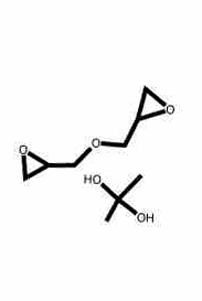 C(OCC1CO1)C1CO1.CC(C)(O)O